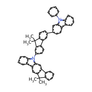 CC1(C)c2ccc(-c3ccc4c5ccccc5n(-c5ccccc5)c4c3)cc2-c2ccc(-n3c4ccccc4c4cc5c(cc43)-c3ccccc3C5(C)C)cc21